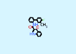 Cc1cc(-c2ccccc2NC(=O)c2c[nH]c3ccccc3c2=O)ccc1F